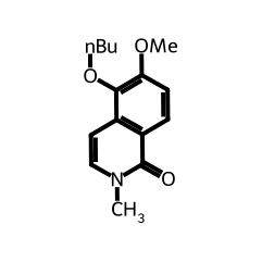 CCCCOc1c(OC)ccc2c(=O)n(C)ccc12